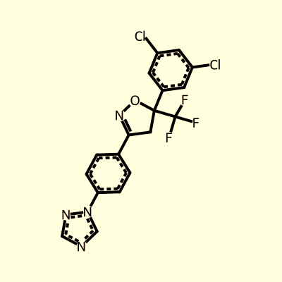 FC(F)(F)C1(c2cc(Cl)cc(Cl)c2)CC(c2ccc(-n3cncn3)cc2)=NO1